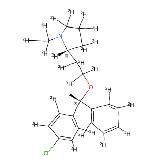 [2H]c1c([2H])c([2H])c([C@@](C)(OC([2H])([2H])C([2H])([2H])[C@]2([2H])N(C([2H])([2H])[2H])C([2H])([2H])C([2H])([2H])C2([2H])[2H])c2c([2H])c([2H])c(Cl)c([2H])c2[2H])c([2H])c1[2H]